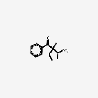 CCC(C)(C(=O)c1ccccc1)C(C)N